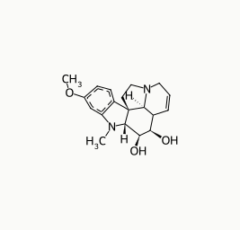 COc1ccc2c(c1)N(C)[C@H]1[C@H](O)[C@H](O)C3C=CCN4CC[C@]21[C@H]34